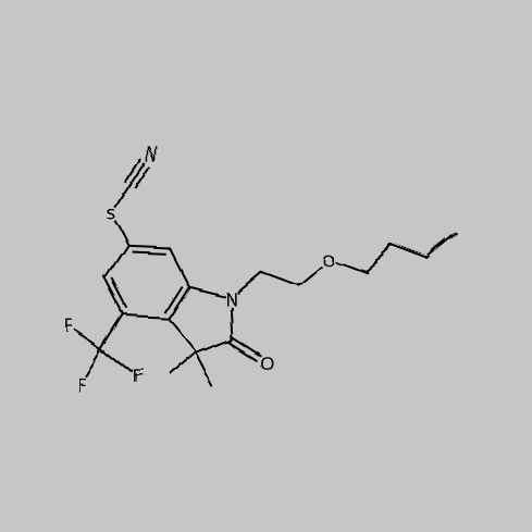 CCCCOCCN1C(=O)C(C)(C)c2c1cc(SC#N)cc2C(F)(F)F